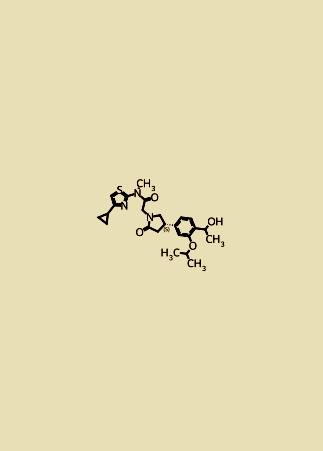 CC(C)Oc1cc([C@@H]2CC(=O)N(CC(=O)N(C)c3nc(C4CC4)cs3)C2)ccc1C(C)O